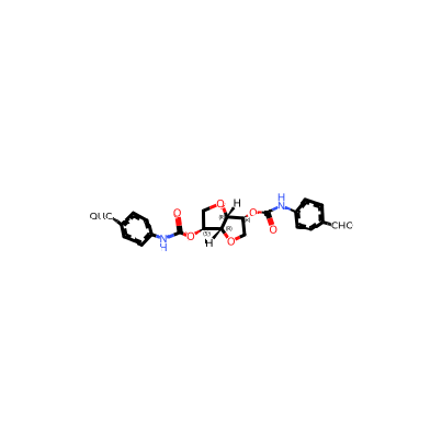 O=Cc1ccc(NC(=O)O[C@H]2CO[C@H]3[C@@H]2OC[C@H]3OC(=O)Nc2ccc(C=O)cc2)cc1